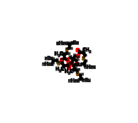 CCCCCCC(CCCC)CSCC(C)C(=O)OCC(COC(=O)C(C)CSCC(CCCC)CCCCCC)(COC(=O)C(C)CSCC(CCCC)CCCCCC)COC(=O)C(C)CSCC(CCCC)CCCCCC